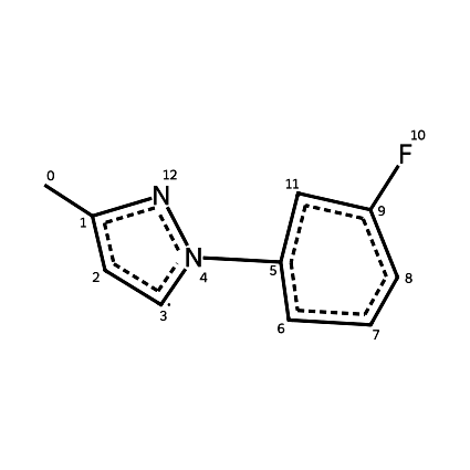 Cc1c[c]n(-c2cccc(F)c2)n1